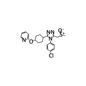 C[S+]([O-])Cc1nnc(C2CCC(Oc3ccccn3)CC2)n1-c1ccc(Cl)cc1